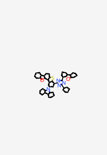 c1ccc(-c2nc(-c3cccc4c3oc3ccccc34)nc(-c3cc(-n4c5ccccc5c5ccccc54)cc4c3sc3ccc5c6ccccc6oc5c34)n2)cc1